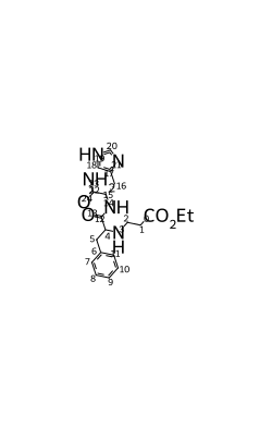 CCOC(=O)CCNC(Cc1ccccc1)C(=O)N[C@@H](Cc1c[nH]cn1)C(N)=O